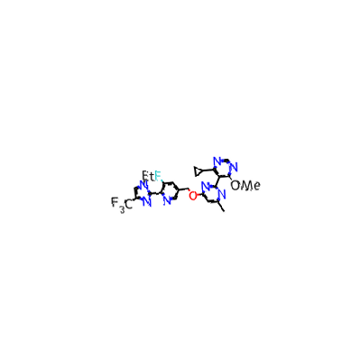 CCn1cc(C(F)(F)F)nc1-c1ncc(COc2cc(C)nc(-c3c(OC)ncnc3C3CC3)n2)cc1F